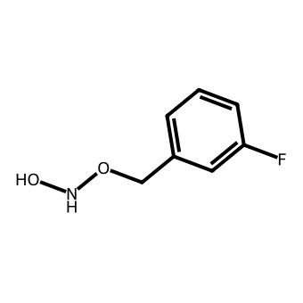 ONOCc1cccc(F)c1